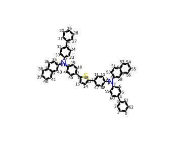 c1ccc(-c2ccc(N(c3ccc(-c4ccc(-c5ccc(N(c6ccc(-c7ccccc7)cc6)c6ccc7ccccc7c6)cc5)s4)cc3)c3ccc4ccccc4c3)cc2)cc1